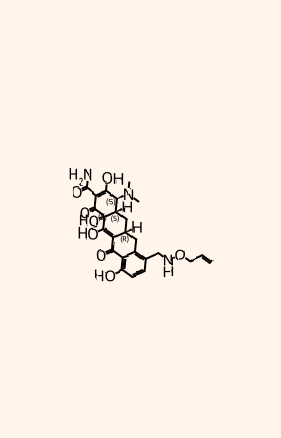 C=CCONCc1ccc(O)c2c1C[C@H]1C[C@H]3[C@H](N(C)C)C(O)=C(C(N)=O)C(=O)[C@@]3(O)C(O)=C1C2=O